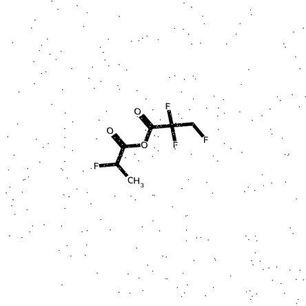 CC(F)C(=O)OC(=O)C(F)(F)CF